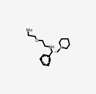 [Mo][CH2]COCCN[C@H](CN1CCCCC1)c1ccccc1